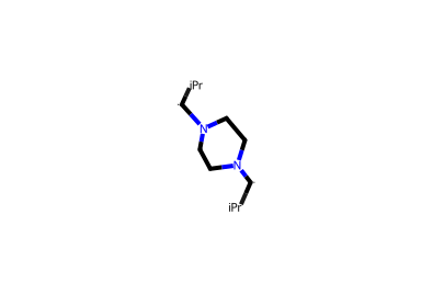 [CH2]C(C)[CH]N1CCN([CH]C([CH2])C)CC1